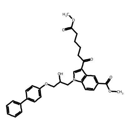 COC(=O)CCCCC(=O)c1cn(CC(O)COc2ccc(-c3ccccc3)cc2)c2ccc(C(=O)OC)cc12